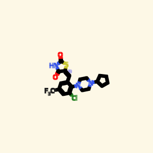 O=C1NC(=O)/C(=C\c2cc(C(F)(F)F)cc(Cl)c2N2CCN(C3CCCC3)CC2)S1